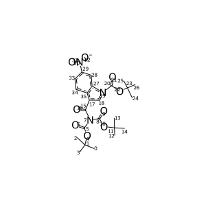 CC(C)(C)OC(=O)N(C(=O)OC(C)(C)C)C(=O)c1cn(C(=O)OC(C)(C)C)c2cc([N+](=O)[O-])ccc12